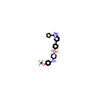 O=S(=O)(c1ccc(-c2ccc3nnc(C4CCCC4)n3c2)cc1)N1CCC(Nc2ccc(OC(F)(F)F)cc2)CC1